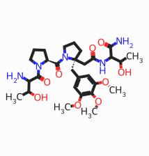 COc1cc(C[C@@]2(CC(=O)NC(C(N)=O)C(C)O)CCCN2C(=O)[C@@H]2CCCN2C(=O)C(N)C(C)O)cc(OC)c1OC